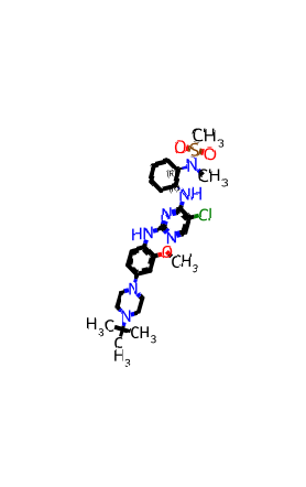 COc1cc(N2CCN(C(C)(C)C)CC2)ccc1Nc1ncc(Cl)c(N[C@@H]2CCCC[C@H]2N(C)S(C)(=O)=O)n1